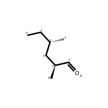 CC[C@H](C)C[C@H](C)C=O